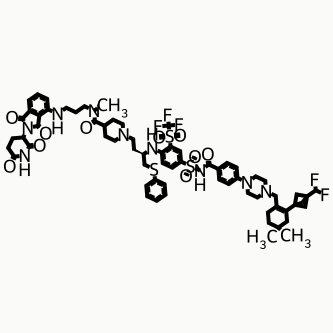 CN(CCCNc1cccc2c1C(=O)N(C1CCC(=O)NC1=O)C2=O)C(=O)C1CCN(CC[C@H](CSc2ccccc2)Nc2ccc(S(=O)(=O)NC(=O)c3ccc(N4CCN(CC5=C(C67CC(C(F)F)(C6)C7)CC(C)(C)CC5)CC4)cc3)cc2S(=O)(=O)C(F)(F)F)CC1